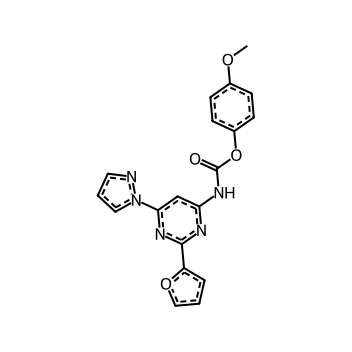 COc1ccc(OC(=O)Nc2cc(-n3cccn3)nc(-c3ccco3)n2)cc1